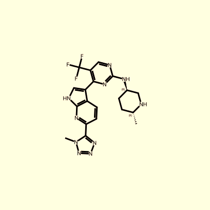 C[C@@H]1CC[C@@H](Nc2ncc(C(F)(F)F)c(-c3c[nH]c4nc(-c5nnnn5C)ccc34)n2)CN1